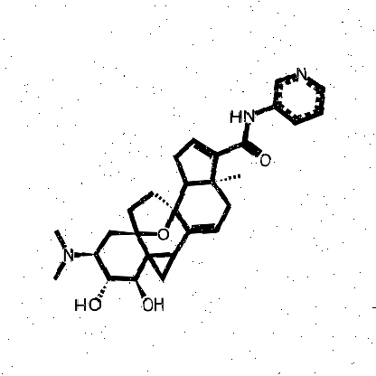 CN(C)[C@H]1C[C@@]23CC[C@@]4(O2)C(=CC[C@]2(C)C(C(=O)Nc5cccnc5)=CCC24)C2CC23[C@@H](O)[C@@H]1O